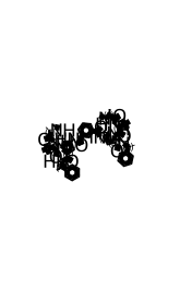 CN[C@@H](C)C(=O)N[C@H](C(=O)N1C[C@@H](NC(=O)C2CCCC(C(=O)N[C@H]3C[C@@H](C(=O)N[C@H](C)C4CCCCC4)N(C(=O)[C@@H](NC(=O)[C@H](C)NC)C(C)(C)C)C3)C2)C[C@H]1C(=O)N[C@H](C)C1CCCCC1)C(C)(C)C